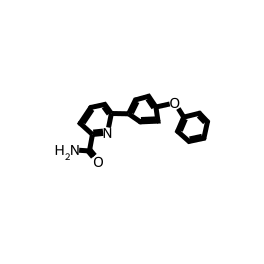 NC(=O)c1cccc(-c2ccc(Oc3ccccc3)cc2)n1